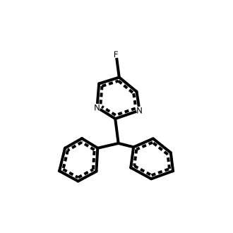 Fc1cnc(C(c2ccccc2)c2ccccc2)nc1